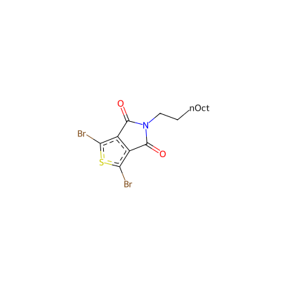 CCCCCCCCCCN1C(=O)c2c(Br)sc(Br)c2C1=O